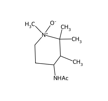 CC(=O)NC1CC[N+](C)([O-])C(C)(C)C1C